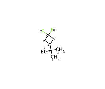 CCC(C)(C)C1CC(F)(F)C1